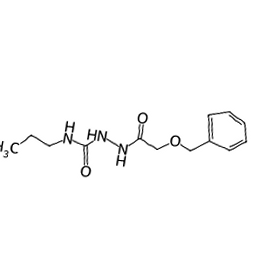 CCCNC(=O)NNC(=O)COCc1ccccc1